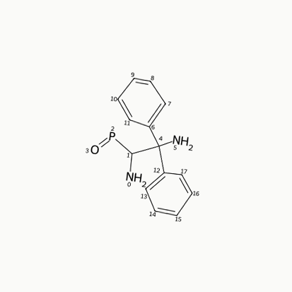 NC(P=O)C(N)(c1ccccc1)c1ccccc1